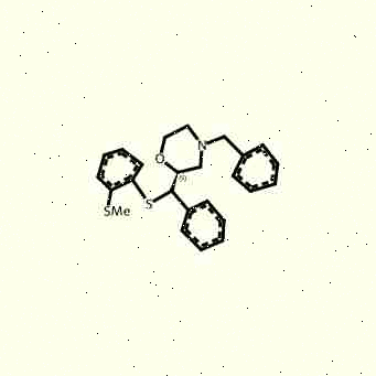 CSc1ccccc1SC(c1ccccc1)[C@@H]1CN(Cc2ccccc2)CCO1